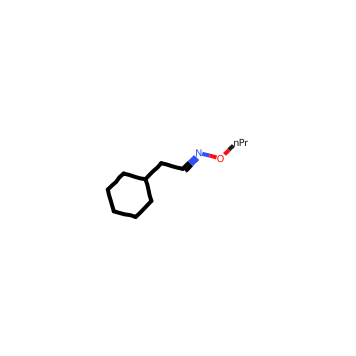 CCCON=CCC1CCCCC1